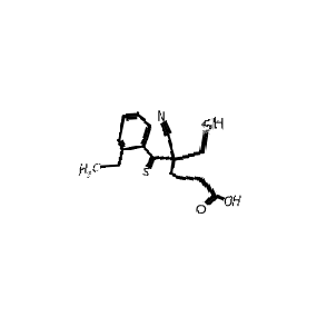 CCc1ccccc1C(=S)C(C#N)(CS)CCC(=O)O